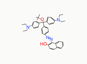 CCN(CC)c1ccc(C(OC(C)(C)C)(c2ccc(/N=N/c3c(O)ccc4ccccc34)cc2)c2ccc(N(CC)CC)cc2)cc1